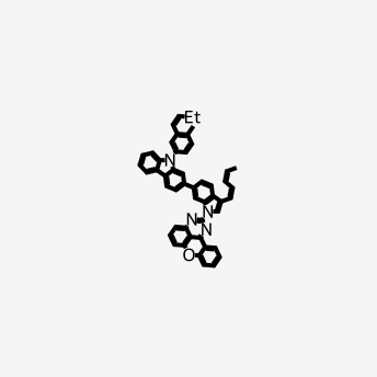 C/C=C\C=C/c1cn(-c2nc3c4c(cccc4n2)Oc2ccccc2-3)c2cc(-c3ccc4c5ccccc5n(-c5ccc(C)c(/C=C\CC)c5)c4c3)ccc12